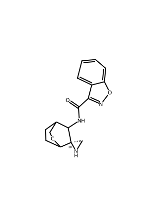 O=C(NC1C2CCC(CC2)[C@@]12CN2)c1noc2ccccc12